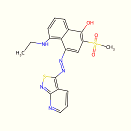 CCNc1cccc2c(O)c(S(C)(=O)=O)cc(/N=N/c3snc4ncccc34)c12